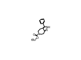 CC(C)(C)OC(=O)N1CCc2n[nH]c(-c3ccccc3)c2CC1